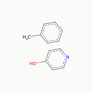 Cc1ccccc1.Oc1ccncc1